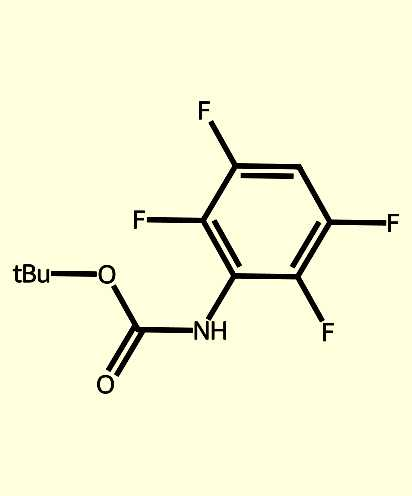 CC(C)(C)OC(=O)Nc1c(F)c(F)cc(F)c1F